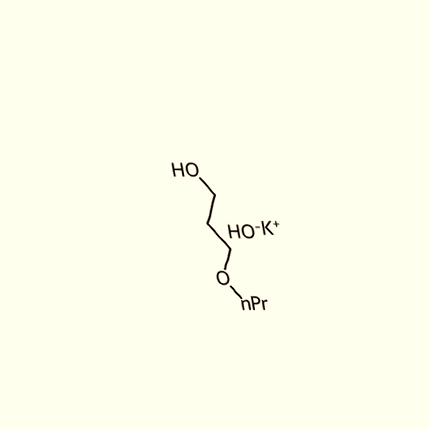 CCCOCCCO.[K+].[OH-]